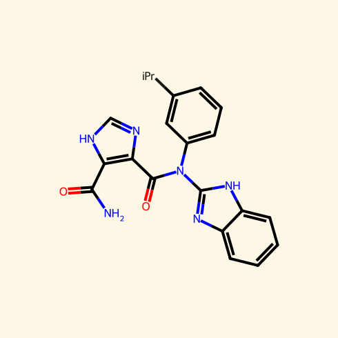 CC(C)c1cccc(N(C(=O)c2nc[nH]c2C(N)=O)c2nc3ccccc3[nH]2)c1